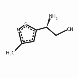 Cc1cc([C@@H](N)CC#N)sn1